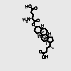 C[C@H](CCC(=O)O)C1CC[C@H]2[C@@H]3CC[C@@H]4C[C@@H](OC(=O)[C@H](N)CCC(=O)O)CC[C@]4(C)[C@H]3CC[C@]12C